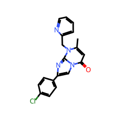 Cc1cc(=O)n2cc(-c3ccc(Cl)cc3)nc2n1Cc1ccccn1